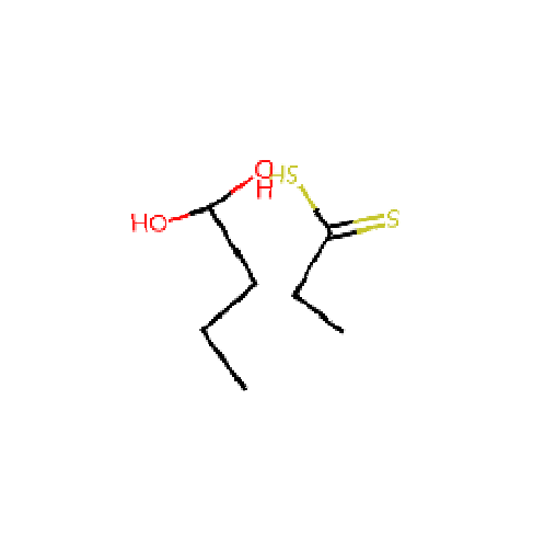 CCC(=S)S.CCCC(O)O